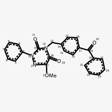 COc1nn(-c2ccccc2)c(=O)n(Cc2ccc(C(=O)c3ccccc3)cc2)c1=O